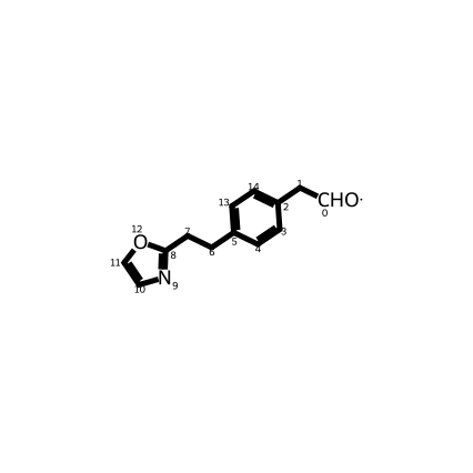 O=[C]Cc1ccc(CCc2ncco2)cc1